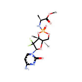 CC(C)OC(=O)[C@H](C)NP1(=O)OC[C@H]2O[C@@H](n3ccc(N)nc3=O)C(F)(F)[C@@H]2O1